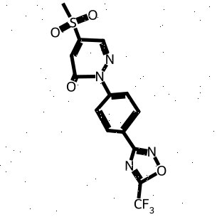 CS(=O)(=O)c1cnn(-c2ccc(-c3noc(C(F)(F)F)n3)cc2)c(=O)c1